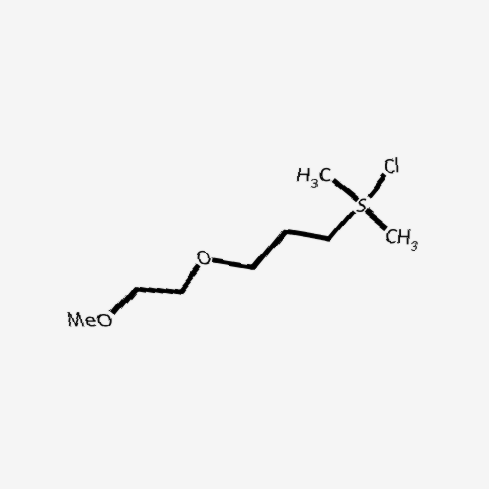 COCCOCCCS(C)(C)Cl